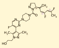 C=C(/C=C(F)\C=C(/C)F)[C@@H]1CC=NN1C(=O)N1CCN(c2ncc(F)c(-c3c(C)nn(CCO)c3C)n2)CC1